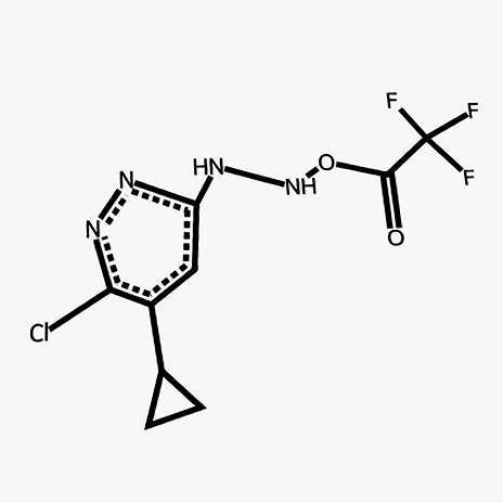 O=C(ONNc1cc(C2CC2)c(Cl)nn1)C(F)(F)F